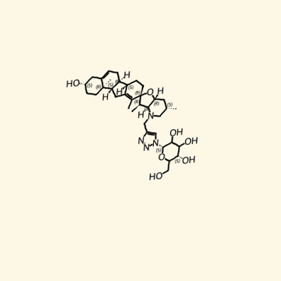 CC1=C2C[C@H]3[C@@H](CC=C4C[C@@H](O)CC[C@@]43C)[C@@H]2CC[C@]12O[C@@H]1C[C@H](C)CN(Cc3cn([C@H]4OC(CO)[C@@H](O)C(O)C4O)nn3)[C@H]1[C@H]2C